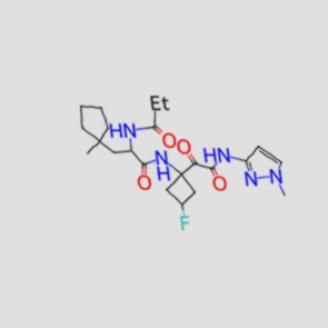 CCC(=O)NC(CC1(C)CCCC1)C(=O)NC1(C(=O)C(=O)Nc2ccn(C)n2)CC(F)C1